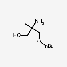 CCCCOCC(C)(N)CO